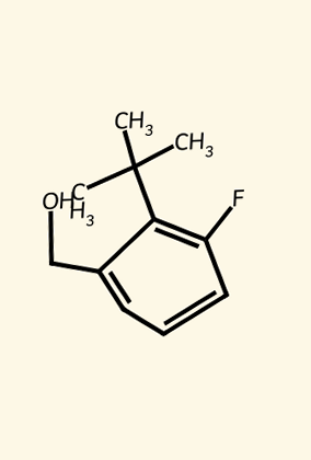 CC(C)(C)c1c(F)cccc1CO